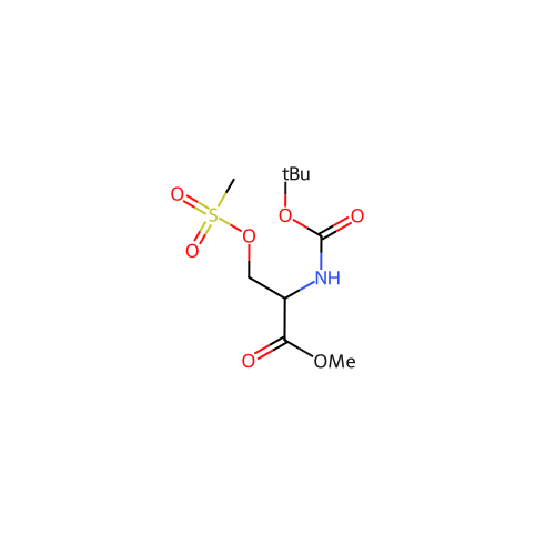 COC(=O)C(COS(C)(=O)=O)NC(=O)OC(C)(C)C